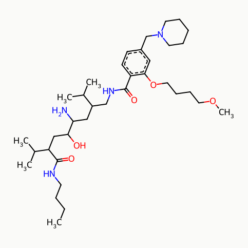 CCCCNC(=O)C(CC(O)C(N)CC(CNC(=O)c1ccc(CN2CCCCC2)cc1OCCCCOC)C(C)C)C(C)C